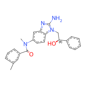 Cc1cccc(C(=O)N(C)c2ccc3c(c2)nc(N)n3C[C@H](O)c2ccccc2)c1